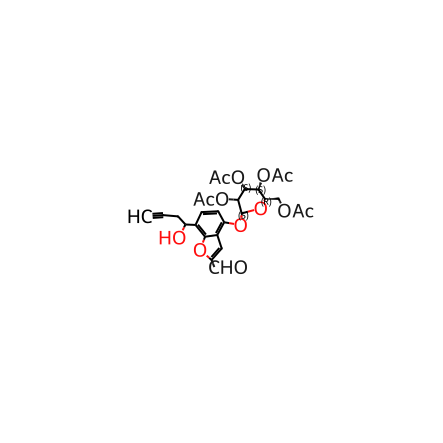 C#CCC(O)c1ccc(O[C@@H]2O[C@H](COC(C)=O)[C@H](OC(C)=O)[C@H](OC(C)=O)C2OC(C)=O)c2cc(C=O)oc12